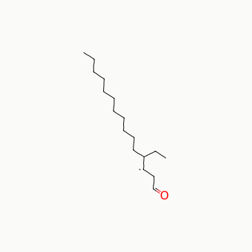 CCCCCCCCCCCC([CH]CC=O)CC